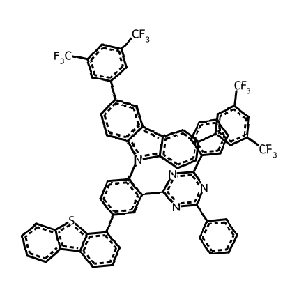 FC(F)(F)c1cc(-c2ccc3c(c2)c2cc(-c4cc(C(F)(F)F)cc(C(F)(F)F)c4)ccc2n3-c2ccc(-c3cccc4c3sc3ccccc34)cc2-c2nc(-c3ccccc3)nc(-c3ccccc3)n2)cc(C(F)(F)F)c1